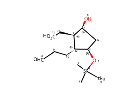 CC(C)(C)[Si](C)(C)O[C@@H]1C[C@H](O)[C@H](CC(=O)O)[C@H]1CCC=O